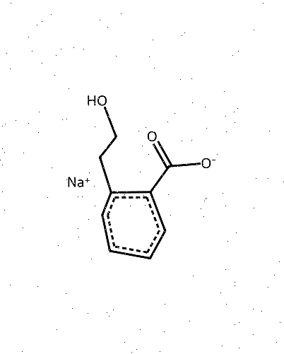 O=C([O-])c1ccccc1CCO.[Na+]